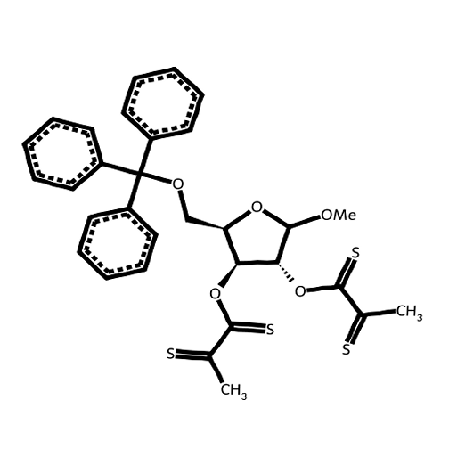 COC1O[C@H](COC(c2ccccc2)(c2ccccc2)c2ccccc2)[C@H](OC(=S)C(C)=S)[C@H]1OC(=S)C(C)=S